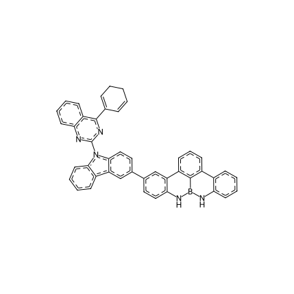 C1=CC(c2nc(-n3c4ccccc4c4cc(-c5ccc6c(c5)-c5cccc7c5B(Nc5ccccc5-7)N6)ccc43)nc3ccccc23)=CCC1